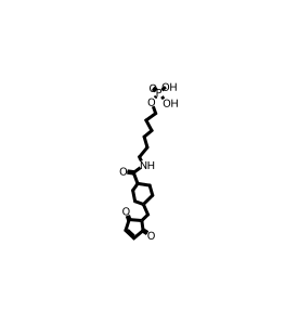 O=C(NCCCCCCOP(=O)(O)O)C1CCC(CC2C(=O)C=CC2=O)CC1